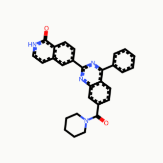 O=C(c1ccc2c(-c3ccccc3)nc(-c3ccc4c(=O)[nH]ccc4c3)nc2c1)N1CCCCC1